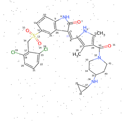 Cc1[nH]c(/C=C2\C(=O)Nc3ccc(S(=O)(=O)Cc4c(Cl)cccc4Cl)cc32)c(C)c1C(=O)N1CCC(NC2CC2)CC1